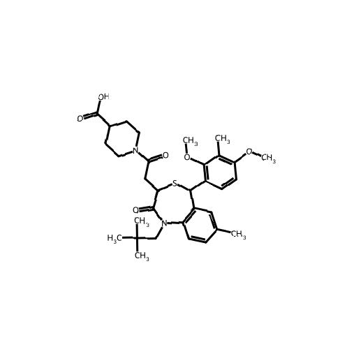 COc1ccc(C2SC(CC(=O)N3CCC(C(=O)O)CC3)C(=O)N(CC(C)(C)C)c3ccc(C)cc32)c(OC)c1C